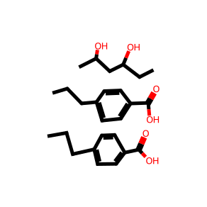 CCC(O)CC(C)O.CCCc1ccc(C(=O)O)cc1.CCCc1ccc(C(=O)O)cc1